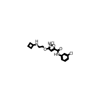 Cl.O=C(Nc1cccc(Cl)c1)c1cc(OCCNC2CCC2)no1